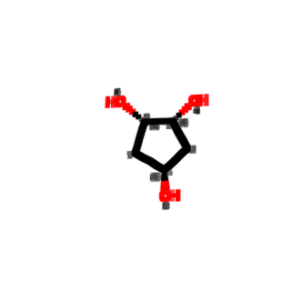 O[C@@H]1C[C@@H](O)[C@@H](O)C1